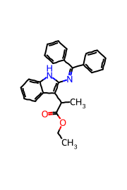 CCOC(=O)C(C)c1c(N=C(c2ccccc2)c2ccccc2)[nH]c2ccccc12